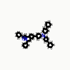 c1ccc(-c2ccc(N(c3ccc(-c4ccccc4)cc3)c3ccc(-c4ccc5c(c4)cc(-c4ccccc4)n4nc(-c6ccccc6)cc54)cc3)cc2)cc1